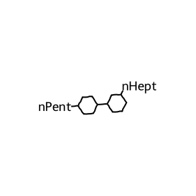 CCCCCCCC1CCCC(C2CCC(CCCCC)CC2)C1